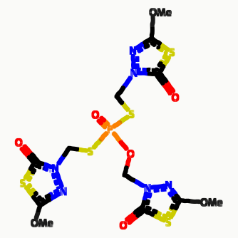 COc1nn(COP(=O)(SCn2nc(OC)sc2=O)SCn2nc(OC)sc2=O)c(=O)s1